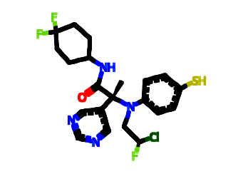 C[C@](C(=O)NC1CCC(F)(F)CC1)(c1cncnc1)N(C[C@H](F)Cl)c1ccc(S)cc1